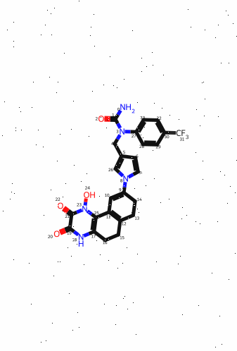 NC(=O)N(Cc1ccn(C2=CC3=C(CC2)CCc2[nH]c(=O)c(=O)n(O)c23)c1)c1ccc(C(F)(F)F)cc1